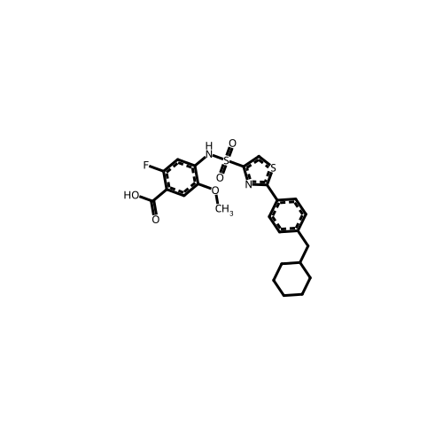 COc1cc(C(=O)O)c(F)cc1NS(=O)(=O)c1csc(-c2ccc(CC3CCCCC3)cc2)n1